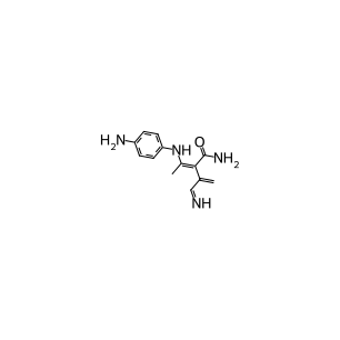 C=C(C=N)/C(C(N)=O)=C(\C)Nc1ccc(N)cc1